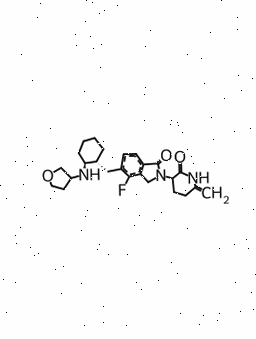 C=C1CCC(N2Cc3c(ccc(C[C@H]4CCCC[C@@H]4NC4CCOC4)c3F)C2=O)C(=O)N1